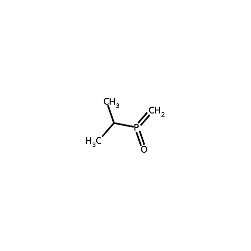 C=P(=O)C(C)C